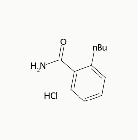 CCCCc1ccccc1C(N)=O.Cl